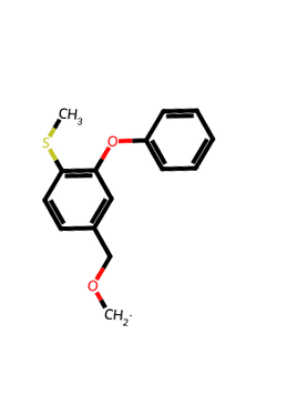 [CH2]OCc1ccc(SC)c(Oc2ccccc2)c1